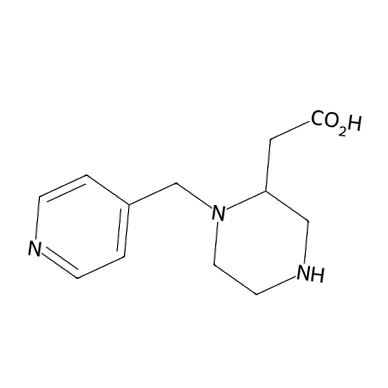 O=C(O)CC1CNCCN1Cc1ccncc1